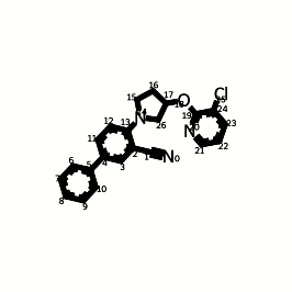 N#Cc1cc(-c2ccccc2)ccc1N1CCC(Oc2ncccc2Cl)C1